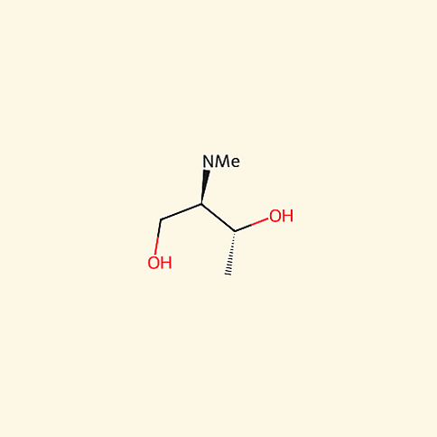 CN[C@H](CO)[C@@H](C)O